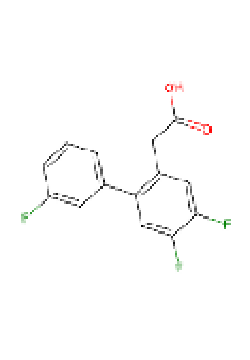 O=C(O)Cc1cc(F)c(F)cc1-c1cccc(F)c1